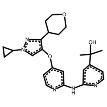 CC(C)(O)c1ccnc(Nc2cc(Oc3cn(C4CC4)nc3C3CCOCC3)ccn2)c1